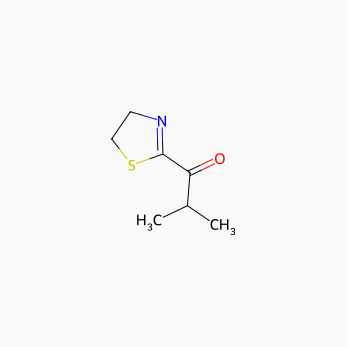 CC(C)C(=O)C1=NCCS1